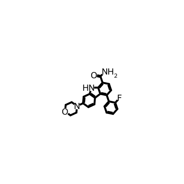 NC(=O)c1ccc(-c2ccccc2F)c2c1[nH]c1cc(N3CCOCC3)ccc12